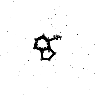 CC(C)c1cccc2c1CCC2